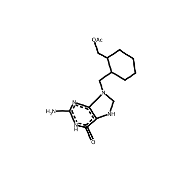 CC(=O)OCC1CCCCC1CN1CNc2c1nc(N)[nH]c2=O